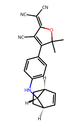 CC1(C)OC(=C(C#N)C#N)C(C#N)=C1c1ccc(N[C@@H]2[C@@H]3C=C[C@H]2CC3)cc1